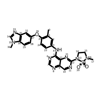 Cc1cc(Nc2ncnc3cnc(N4CCN(C)S4(=O)=O)nc23)ccc1Oc1ccc2c(c1)ncn2C